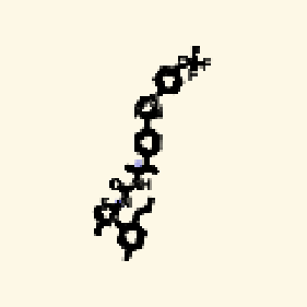 CCCc1ccc(C)cc1-n1c(C)cs/c1=N\C(=O)N/C(C)=C(\C)c1ccc(-c2ncn(-c3ccc(OC(F)(F)F)cc3)n2)cc1